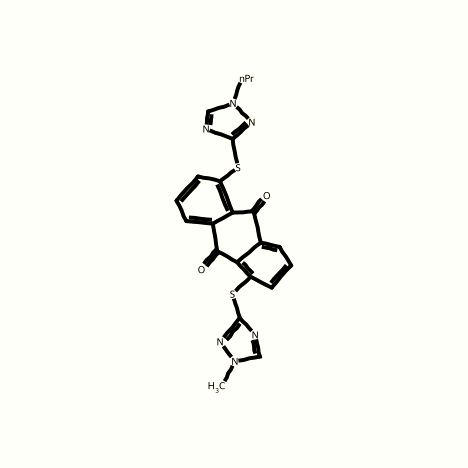 CCCn1cnc(Sc2cccc3c2C(=O)c2cccc(Sc4ncn(C)n4)c2C3=O)n1